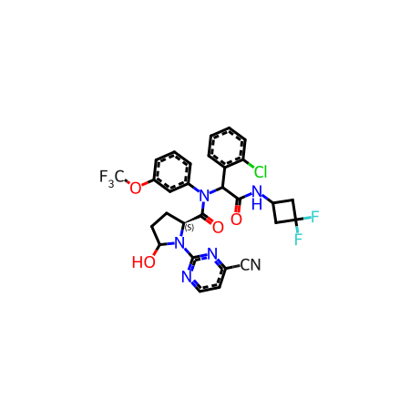 N#Cc1ccnc(N2C(O)CC[C@H]2C(=O)N(c2cccc(OC(F)(F)F)c2)C(C(=O)NC2CC(F)(F)C2)c2ccccc2Cl)n1